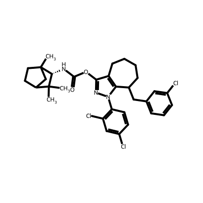 CC12CCC(C1)C(C)(C)[C@H]2NC(=O)Oc1nn(-c2ccc(Cl)cc2Cl)c2c1CCCCC2Cc1cccc(Cl)c1